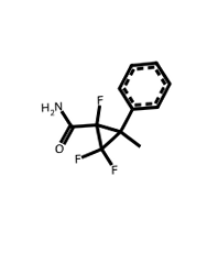 CC1(c2ccccc2)C(F)(F)C1(F)C(N)=O